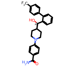 NC(=O)c1ccc(N2CCC([C@@H](O)c3ccccc3-c3ccc(C(F)(F)F)cc3)CC2)cc1